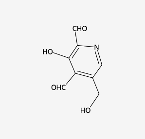 O=Cc1ncc(CO)c(C=O)c1O